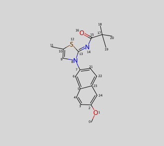 COc1ccc2cc(-n3cc(C)sc3=NC(=O)C(C)(C)C)ccc2c1